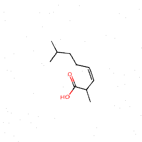 CC(C)CC/C=C\C(C)C(=O)O